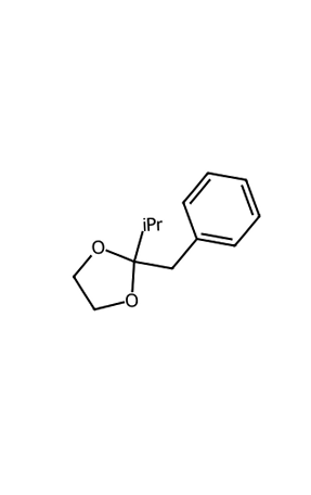 CC(C)C1(Cc2ccccc2)OCCO1